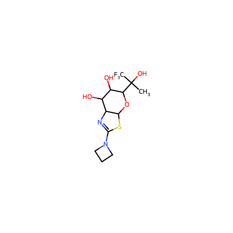 CC(O)(C1OC2SC(N3CCC3)=NC2C(O)C1O)C(F)(F)F